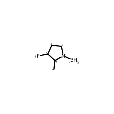 BN1CCC(F)C1C